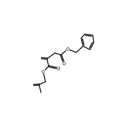 C=C(C)COC(=O)C(=C)CC(=O)OCc1ccccc1